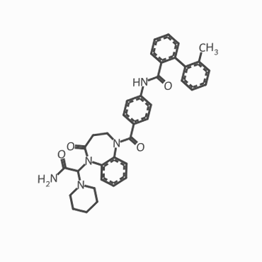 Cc1ccccc1-c1ccccc1C(=O)Nc1ccc(C(=O)N2CCC(=O)N(C(C(N)=O)N3CCCCC3)c3ccccc32)cc1